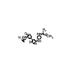 COC[C@H](C)N[C@H]1CC[C@H](Nc2cc(-c3cnc(Cl)c(NCC4(C)CC4)c3)c(F)cn2)CC1